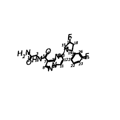 NC(=O)CNC(=O)c1cnn2ccc(N3C[C@@H](F)C[C@@H]3c3cccc(F)c3)nc12